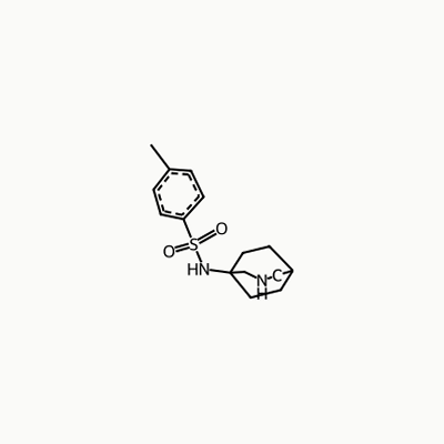 Cc1ccc(S(=O)(=O)NC23CCC(CC2)CNC3)cc1